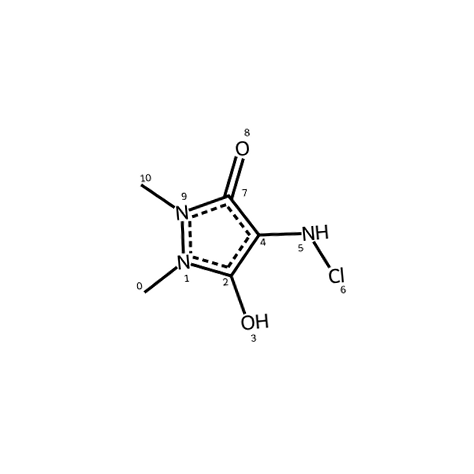 Cn1c(O)c(NCl)c(=O)n1C